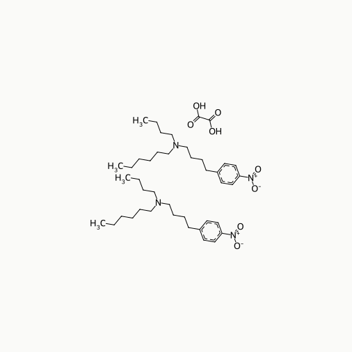 CCCCCCN(CCCC)CCCCc1ccc([N+](=O)[O-])cc1.CCCCCCN(CCCC)CCCCc1ccc([N+](=O)[O-])cc1.O=C(O)C(=O)O